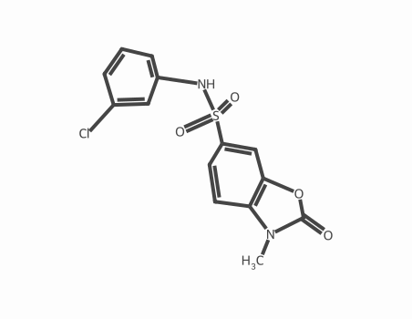 Cn1c(=O)oc2cc(S(=O)(=O)Nc3cccc(Cl)c3)ccc21